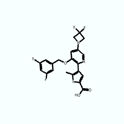 Cc1sc(C(=O)O)cc1-c1ncc(N2CC(F)(F)C2)cc1OCc1cc(F)cc(F)c1